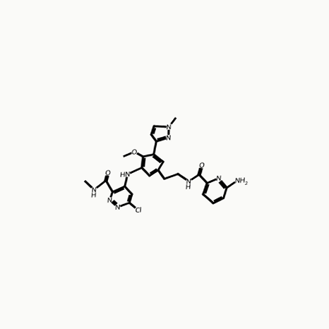 CNC(=O)c1nnc(Cl)cc1Nc1cc(CCNC(=O)c2cccc(N)n2)cc(-c2ccn(C)n2)c1OC